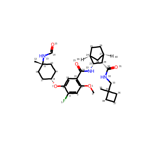 COc1cc(F)c(O[C@H]2CC[C@@](C)(NC=O)CC2)cc1C(=O)N[C@@H]1[C@H]2CC[C@H](C2)[C@@H]1C(=O)NCC1(C)CCC1